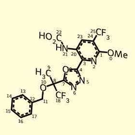 COc1nc(-c2nnc(C(C)(OCc3ccccc3)C(F)(F)F)o2)c(NC(=O)O)cc1C(F)(F)F